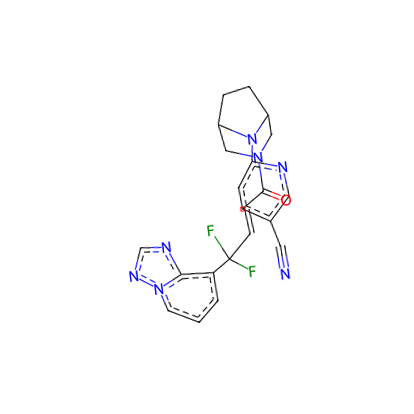 N#Cc1ccc(N2C3CCC2CN(C(=O)/C=C/C(F)(F)c2cccn4ncnc24)C3)nc1